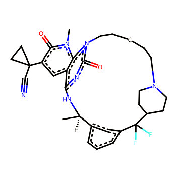 C[C@H]1Nc2nc(=O)n(c3c2cc(C2(C#N)CC2)c(=O)n3C)CCCCCN2CCC(CC2)C(F)(F)c2cccc1c2